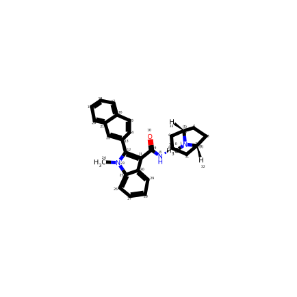 CN1[C@@H]2CC[C@H]1C[C@@H](NC(=O)c1c(-c3ccc4ccccc4c3)n(C)c3ccccc13)C2